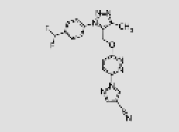 Cc1nnn(-c2ccc(C(F)F)cc2)c1COc1ccc(-n2cc(C#N)cn2)nn1